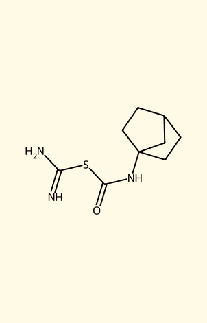 N=C(N)SC(=O)NC12CCC(CC1)C2